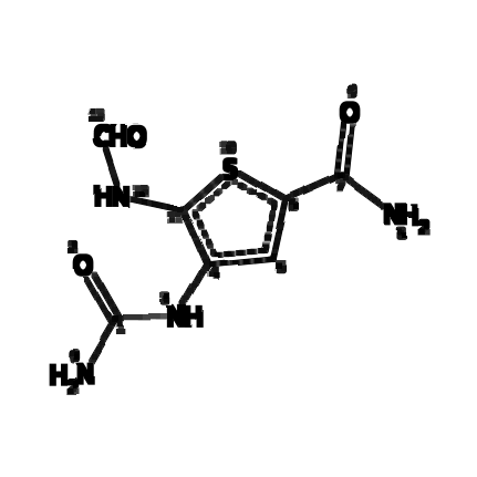 NC(=O)Nc1cc(C(N)=O)sc1NC=O